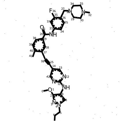 COc1nn(CCO)cc1Nc1ncc(C#Cc2cc(C(=O)Nc3ccc(CN4CCN(C)CC4)c(F)c3)ccc2C)cn1